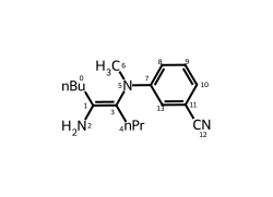 CCCC/C(N)=C(/CCC)N(C)c1cccc(C#N)c1